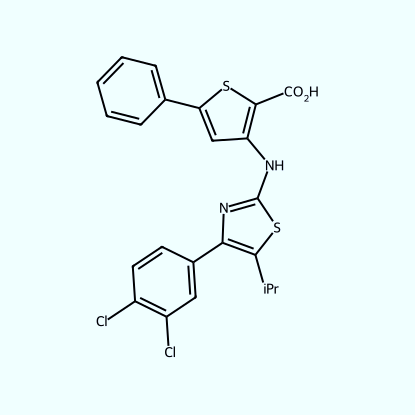 CC(C)c1sc(Nc2cc(-c3ccccc3)sc2C(=O)O)nc1-c1ccc(Cl)c(Cl)c1